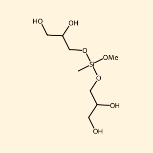 CO[Si](C)(OCC(O)CO)OCC(O)CO